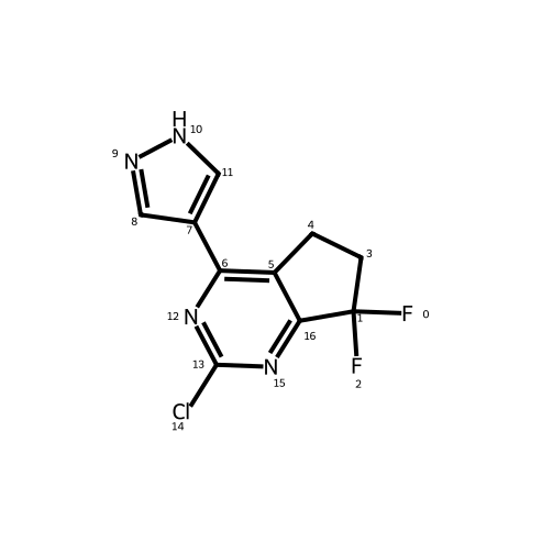 FC1(F)CCc2c(-c3cn[nH]c3)nc(Cl)nc21